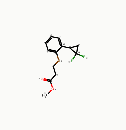 COC(=O)CCSc1ccccc1C1CC1(F)F